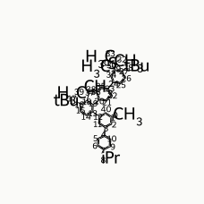 Cc1cc(-c2ccc(C(C)C)cc2)cc(-c2ccc(C(C)(C)C)c3c2-c2ccc(-c4ccc(C(C)(C)C)c(S(C)(C)C)c4)cc2C3(C)C)c1